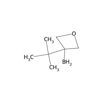 BC1(C(C)(C)C)COC1